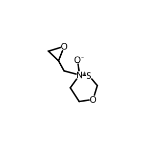 [O-][N+]1(CC2CO2)CCOCS1